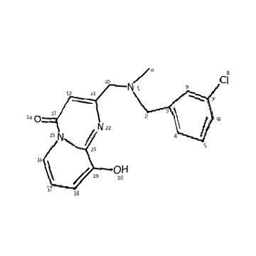 CN(Cc1cccc(Cl)c1)Cc1cc(=O)n2cccc(O)c2n1